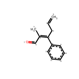 C=CCC(=C(C)C=O)c1ccccc1